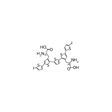 N[C@H](Cc1cc(-c2ccc(I)s2)sc1-c1ccc(-c2sc(-c3ccc(I)s3)cc2C[C@H](N)C(=O)O)s1)C(=O)O